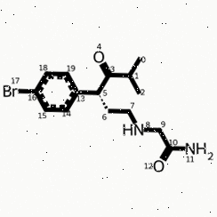 CC(C)C(=O)[C@H](CCNCC(N)=O)c1ccc(Br)cc1